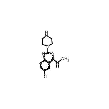 NNc1nc(N2CCNCC2)nc2ccc(Cl)cc12